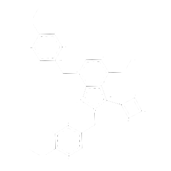 COc1ccc(Cn2nc3c(c(OC)cc[n+]3Cc3ccc(OC)cc3)c2C2=CC=C2)cc1